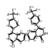 FC(F)(F)c1ccc(-c2cnc(Cl)c3cccnc23)nc1.O=c1[nH]cc(-c2ccc(C(F)(F)F)cn2)c2ncccc12